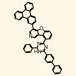 c1ccc(-c2ccc(C3=NC(c4cccc5oc6c(-c7ccc8c9ccccc9c9ccccc9c8c7)cncc6c45)=NC(c4ccccc4)N3)cc2)cc1